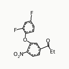 CCC(=O)c1ccc([N+](=O)[O-])c(Oc2ccc(F)cc2F)c1